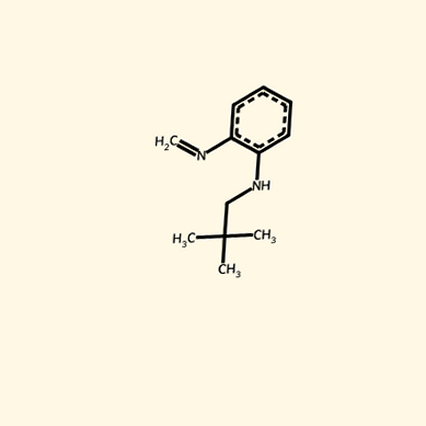 C=Nc1ccccc1NCC(C)(C)C